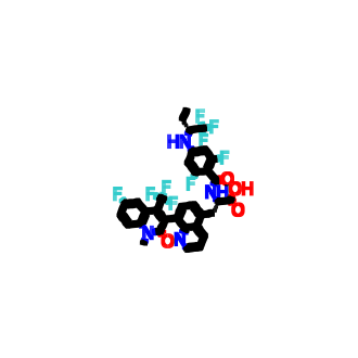 CC[C@@H](Nc1cc(F)c(C(=O)N[C@@H](Cc2ccc(-c3c(C(F)(F)F)c4cc(F)ccc4n(C)c3=O)c3ncccc23)C(=O)O)c(F)c1)C(F)(F)F